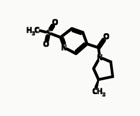 C[C@@H]1CCN(C(=O)c2ccc(S(C)(=O)=O)nc2)C1